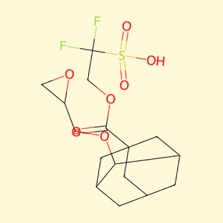 O=C(OCC(F)(F)S(=O)(=O)O)C12CC3CC(C1)C(OCC1CO1)C(C3)C2